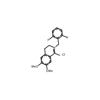 COc1cc2c(cc1OC)C(C)=[N+](Cc1c(F)cccc1F)CC2.[Cl-]